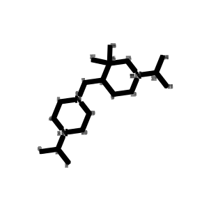 CC(C)N1CCN(CC2CCN(C(C)C)CC2(C)C)CC1